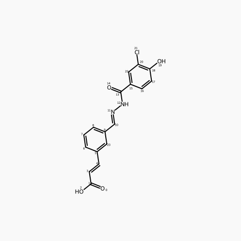 O=C(O)/C=C/c1cccc(/C=N/NC(=O)c2ccc(O)c(Cl)c2)c1